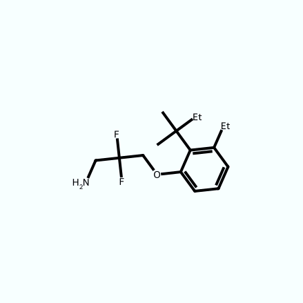 CCc1cccc(OCC(F)(F)CN)c1C(C)(C)CC